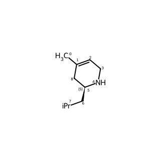 CC1=CCN[C@@H](CC(C)C)C1